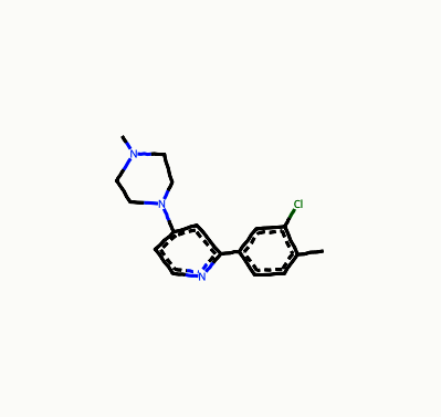 Cc1ccc(-c2cc(N3CCN(C)CC3)ccn2)cc1Cl